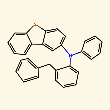 c1ccc(Cc2ccccc2N(c2ccccc2)c2ccc3sc4ccccc4c3c2)cc1